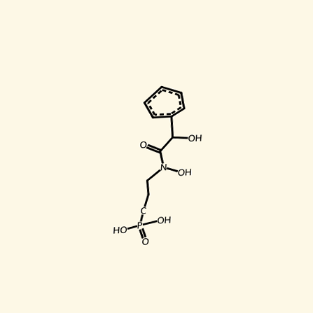 O=C(C(O)c1ccccc1)N(O)CCCP(=O)(O)O